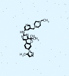 CCN1CCN(Cc2cncc(Nc3ncc4c(n3)C(C)(C)Oc3cc(-n5nncc5C)ccc3-4)c2)CC1